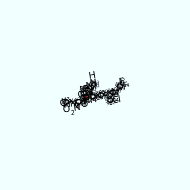 O=C(NS(=O)(=O)c1ccc(NCC2CCOCC2)c([N+](=O)[O-])c1)c1ccc(N2CCC3(CC2)CC(N2CCN(Cc4ccc(F)c(F)c4)C[C@H]2c2ccccc2Cl)C3)cc1N1c2cc3cc[nH]c3nc2O[C@H]2COCC[C@@H]21